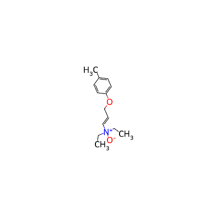 CC[N+]([O-])(/C=C/COc1ccc(C)cc1)CC